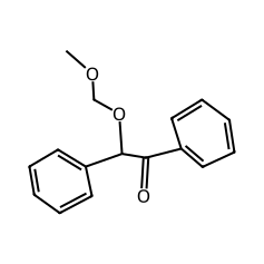 COCOC(C(=O)c1ccccc1)c1ccccc1